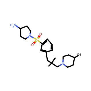 [2H]C1CCN(CC(C)(C)Cc2cccc(S(=O)(=O)N3CCC(N)CC3)c2)CC1